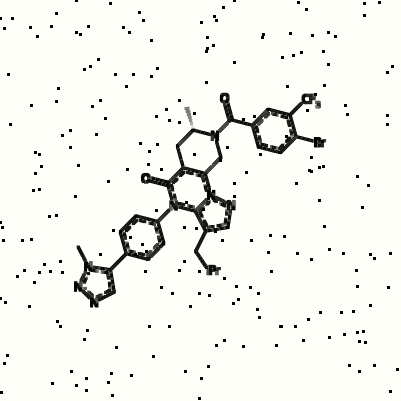 CC(C)Cc1cnn2c3c(c(=O)n(-c4ccc(-c5cnnn5C)cc4)c12)C[C@H](C)N(C(=O)c1ccc(Br)c(C(F)(F)F)c1)C3